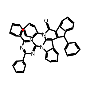 O=c1c2c(c3c4ccccc4n(-c4nc(-c5ccccc5)nc(-c5ccccc5)n4)c3n1-c1ccccc1)C(c1ccccc1)c1ccccc1-2